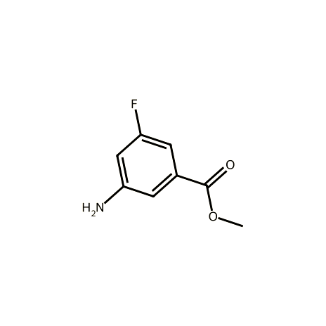 COC(=O)c1cc(N)cc(F)c1